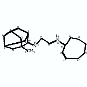 CC12CC3CC(CC(C3)C1NCCNC1CCCCCCC1)C2